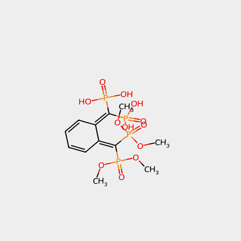 COP(=O)(OC)C(=c1ccccc1=C(P(=O)(O)O)P(=O)(O)O)P(=O)(OC)OC